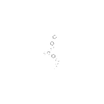 COC(=O)N[C@H](C)C(=O)NCc1ccc(-n2nc(C(C)(C)C)cc2NC(=O)Nc2ccc(Oc3ccncc3)cc2)cc1